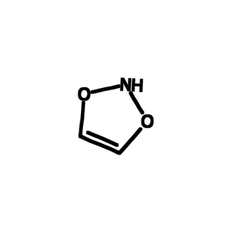 C1=CONO1